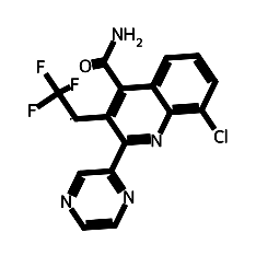 NC(=O)c1c([CH]C(F)(F)F)c(-c2cnccn2)nc2c(Cl)cccc12